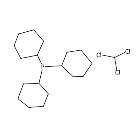 C1CCC(P(C2CCCCC2)C2CCCCC2)CC1.Cl[C](Cl)Cl